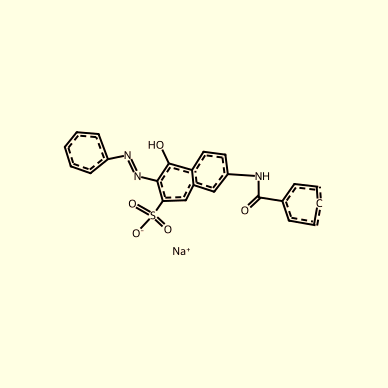 O=C(Nc1ccc2c(O)c(N=Nc3ccccc3)c(S(=O)(=O)[O-])cc2c1)c1ccccc1.[Na+]